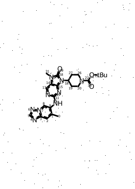 Cc1cc2ncnn2cc1Nc1ncc2c(n1)n(C1CCN(C(=O)OC(C)(C)C)CC1)c(=O)n2C